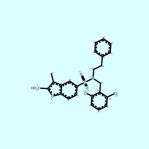 Cc1c(C(=O)O)oc2ccc(S(=O)(=O)N(CCc3ccccc3)Cc3c(Cl)cccc3Cl)cc12